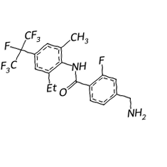 CCc1cc(C(F)(C(F)(F)F)C(F)(F)F)cc(C)c1NC(=O)c1ccc(CN)cc1F